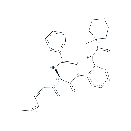 C=C(/C=C\C=C/C)[C@@H](NC(=O)c1ccccc1)C(=O)Sc1ccccc1NC(=O)C1(C)CCCCC1